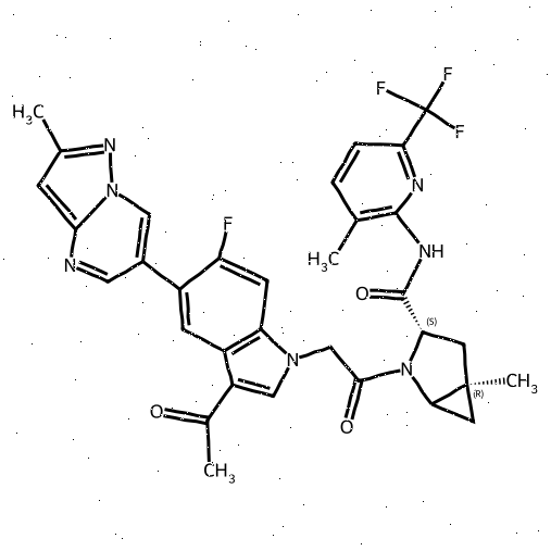 CC(=O)c1cn(CC(=O)N2C3C[C@]3(C)C[C@H]2C(=O)Nc2nc(C(F)(F)F)ccc2C)c2cc(F)c(-c3cnc4cc(C)nn4c3)cc12